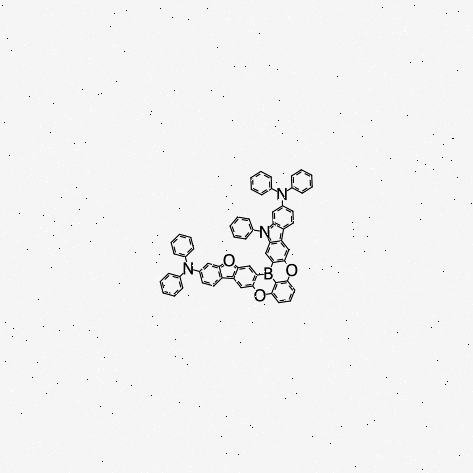 c1ccc(N(c2ccccc2)c2ccc3c(c2)oc2cc4c(cc23)Oc2cccc3c2B4c2cc4c(cc2O3)c2ccc(N(c3ccccc3)c3ccccc3)cc2n4-c2ccccc2)cc1